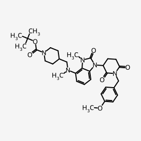 COc1ccc(CN2C(=O)CCC(n3c(=O)n(C)c4c(N(C)CC5CCN(C(=O)OC(C)(C)C)CC5)cccc43)C2=O)cc1